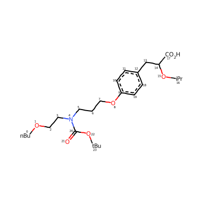 CCCCOCCN(CCCOc1ccc(CC(OC(C)C)C(=O)O)cc1)C(=O)OC(C)(C)C